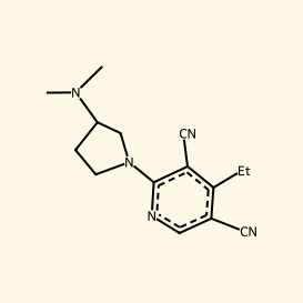 CCc1c(C#N)cnc(N2CCC(N(C)C)C2)c1C#N